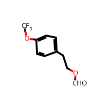 O=COCCc1ccc(OC(F)(F)F)cc1